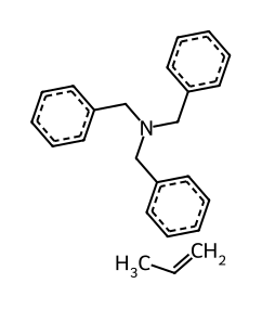 C=CC.c1ccc(CN(Cc2ccccc2)Cc2ccccc2)cc1